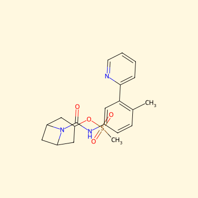 Cc1ccc(NC(=O)N2C3CC(OS(C)(=O)=O)CC2C3)cc1-c1ccccn1